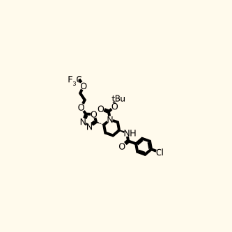 CC(C)(C)OC(=O)N1C[C@@H](NC(=O)c2ccc(Cl)cc2)CC[C@@H]1c1nnc(OCCOC(F)(F)F)o1